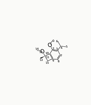 COc1c(C(C)C)ccc2c1[C@@](C)(OC)C2